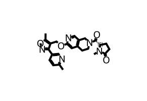 Cc1ccc(-c2noc(C)c2COc2cc3c(cn2)CN(C(=O)[C@@H]2CCC(=O)N2C)CC3)cn1